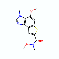 COc1cc2sc(C(=O)N(C)OC)cc2c2ncn(C)c12